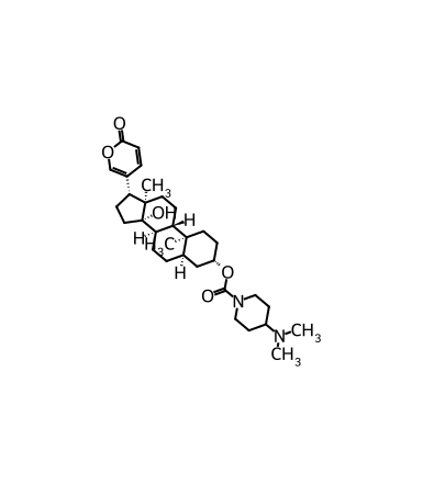 CN(C)C1CCN(C(=O)O[C@H]2CC[C@@]3(C)[C@H](CC[C@@H]4[C@@H]3CC[C@]3(C)[C@@H](c5ccc(=O)oc5)CC[C@]43O)C2)CC1